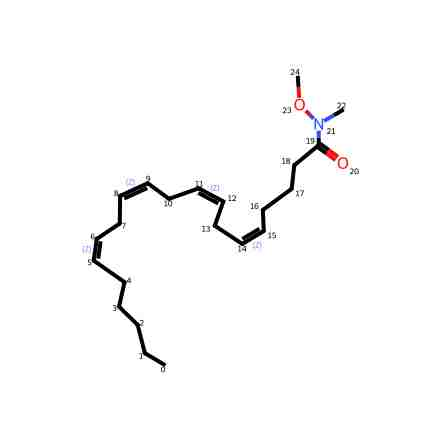 CCCCC/C=C\C/C=C\C/C=C\C/C=C\CCCC(=O)N(C)OC